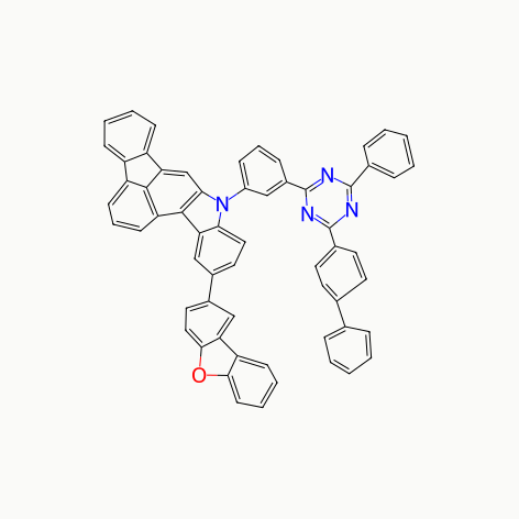 c1ccc(-c2ccc(-c3nc(-c4ccccc4)nc(-c4cccc(-n5c6ccc(-c7ccc8oc9ccccc9c8c7)cc6c6c7cccc8c7c(cc65)-c5ccccc5-8)c4)n3)cc2)cc1